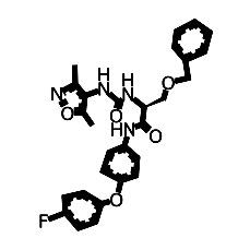 Cc1noc(C)c1NC(=O)N[C@@H](COCc1ccccc1)C(=O)Nc1ccc(Oc2ccc(F)cc2)cc1